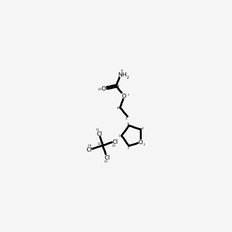 C1CCOC1.CCOC(N)=O.ClC(Cl)(Cl)Cl